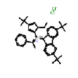 CCC1C=C(C(C)(C)C)C=[C]1/[Zr+2](=[C](/C)c1ccccc1)[CH]1c2ccc(C(C)(C)C)cc2-c2cc(C(C)(C)C)ccc21.[Cl-].[Cl-]